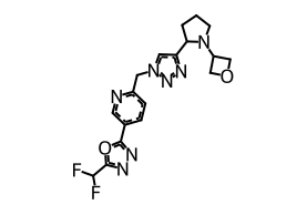 FC(F)c1nnc(-c2ccc(Cn3cc(C4CCCN4C4COC4)nn3)nc2)o1